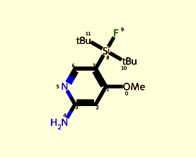 COc1cc(N)ncc1[Si](F)(C(C)(C)C)C(C)(C)C